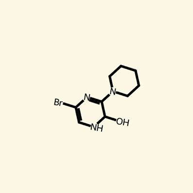 OC1NC=C(Br)N=C1N1CCCCC1